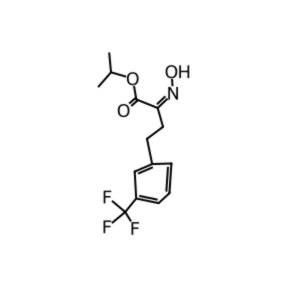 CC(C)OC(=O)/C(CCc1cccc(C(F)(F)F)c1)=N\O